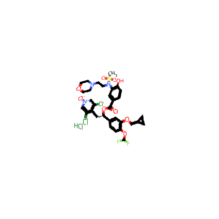 CS(=O)(=O)N(CCN1CCOCC1)c1cc(C(=O)O[C@@H](Cc2c(Cl)c[n+]([O-])cc2Cl)c2ccc(OC(F)F)c(OCC3CC3)c2)ccc1O.Cl